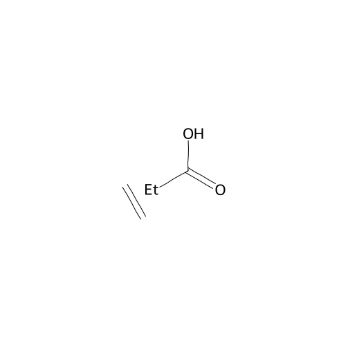 C=C.CCC(=O)O